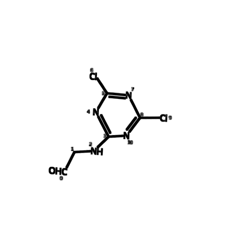 O=CCNc1nc(Cl)nc(Cl)n1